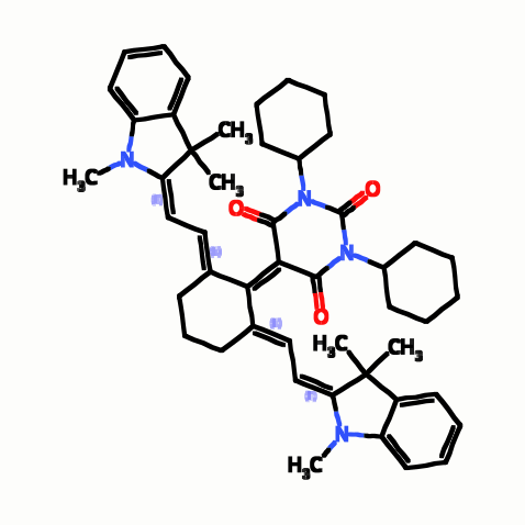 CN1/C(=C/C=C2\CCC/C(=C\C=C3\N(C)c4ccccc4C3(C)C)C2=C2C(=O)N(C3CCCCC3)C(=O)N(C3CCCCC3)C2=O)C(C)(C)c2ccccc21